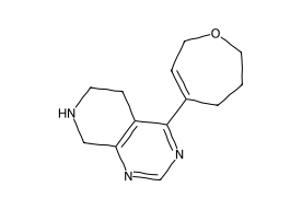 C1=C(c2ncnc3c2CCNC3)CCCOC1